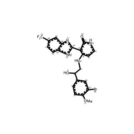 COc1ccc(C(O)CNc2cc[nH]c(=O)c2-c2nc3cc(C(F)(F)F)ccc3[nH]2)cc1Br